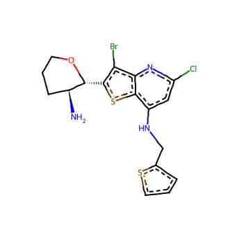 N[C@H]1CCCO[C@@H]1c1sc2c(NCc3cccs3)cc(Cl)nc2c1Br